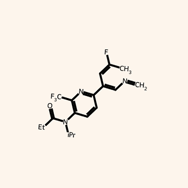 C=N/C=C(\C=C(/C)F)c1ccc(N(C(=O)CC)C(C)C)c(C(F)(F)F)n1